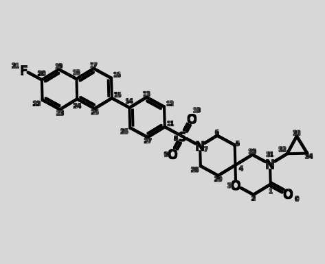 O=C1COC2(CCN(S(=O)(=O)c3ccc(-c4ccc5cc(F)ccc5c4)cc3)CC2)CN1C1CC1